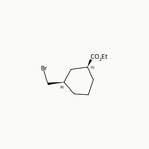 CCOC(=O)[C@H]1CCC[C@@H](CBr)C1